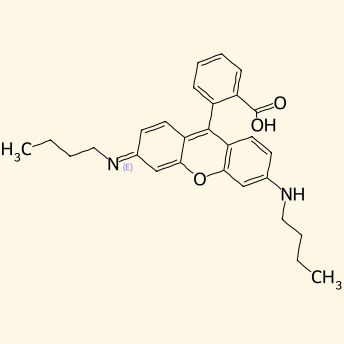 CCCC/N=c1\ccc2c(-c3ccccc3C(=O)O)c3ccc(NCCCC)cc3oc-2c1